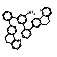 Bc1cc(-c2ccccc2-c2ccc3c(c2)CCc2cccnc2-3)cc(-c2ccccc2-c2ccc3c(c2)CCc2cccnc2-3)c1